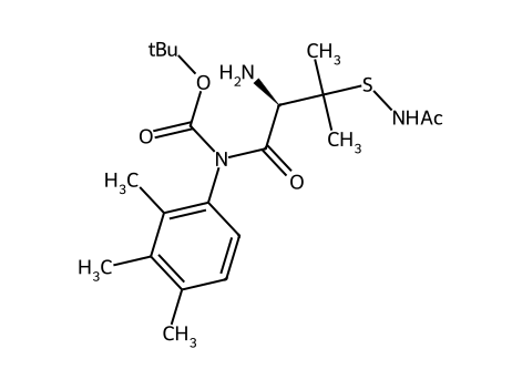 CC(=O)NSC(C)(C)[C@H](N)C(=O)N(C(=O)OC(C)(C)C)c1ccc(C)c(C)c1C